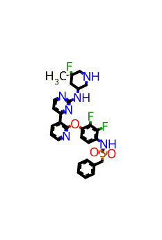 C[C@]1(F)CNCC(Nc2nccc(-c3cccnc3Oc3ccc(NS(=O)(=O)Cc4ccccc4)c(F)c3F)n2)C1